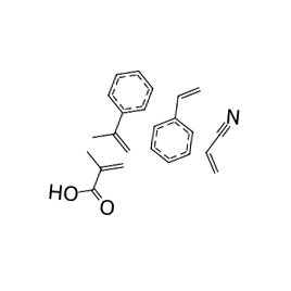 C=C(C)C(=O)O.C=C(C)c1ccccc1.C=CC#N.C=Cc1ccccc1